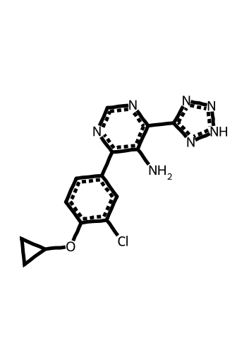 Nc1c(-c2ccc(OC3CC3)c(Cl)c2)ncnc1-c1nn[nH]n1